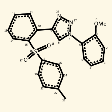 COc1ccccc1-n1cc(-c2ccccc2S(=O)(=O)c2ccc(C)cc2)nn1